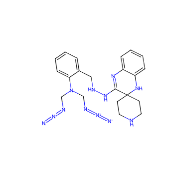 [N-]=[N+]=NCN(CN=[N+]=[N-])c1ccccc1CNNC1=Nc2ccccc2NC12CCNCC2